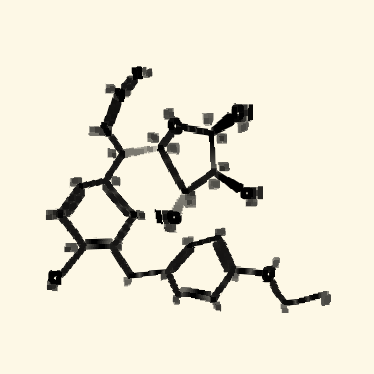 CCOc1ccc(Cc2cc(C(N=[N+]=[N-])[C@@H]3O[C@@H](O)[C@@H](O)[C@@H]3O)ccc2Cl)cc1